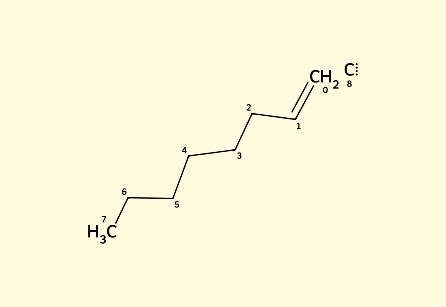 C=CCCCCCC.[C]